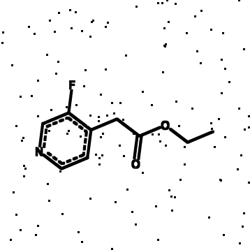 CCOC(=O)Cc1ccncc1F